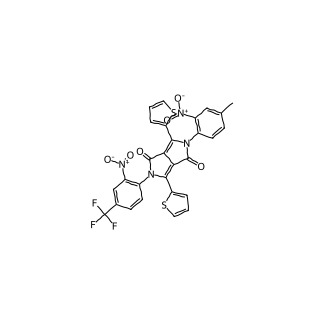 Cc1ccc(N2C(=O)C3=C(c4cccs4)N(c4ccc(C(F)(F)F)cc4[N+](=O)[O-])C(=O)C3=C2c2cccs2)c([N+](=O)[O-])c1